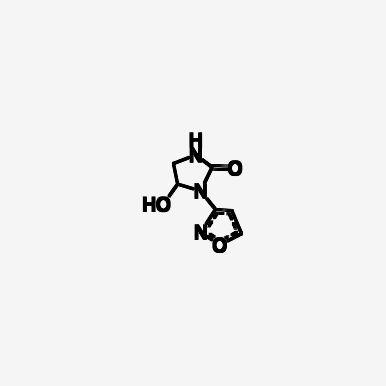 O=C1NCC(O)N1c1ccon1